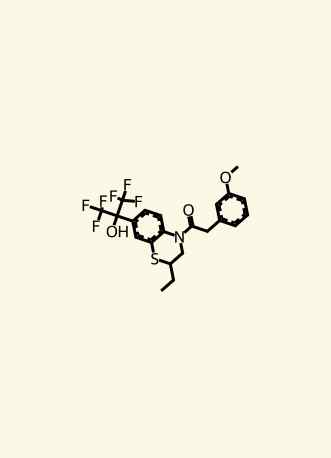 CCC1CN(C(=O)Cc2cccc(OC)c2)c2ccc(C(O)(C(F)(F)F)C(F)(F)F)cc2S1